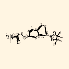 CC1(C)OB(c2ccc3ccc(OCC(N)=O)cc3c2)OC1(C)C